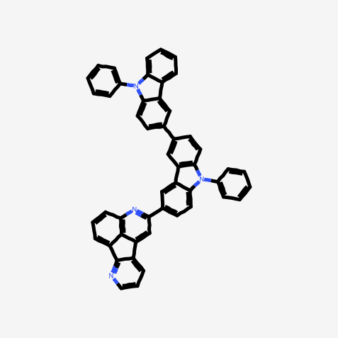 c1ccc(-n2c3ccccc3c3cc(-c4ccc5c(c4)c4cc(-c6cc7c8c(cccc8n6)-c6ncccc6-7)ccc4n5-c4ccccc4)ccc32)cc1